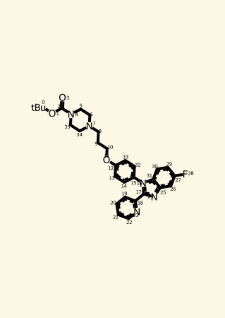 CC(C)(C)OC(=O)N1CCN(CCCOc2ccc(-n3c(-c4ccccn4)nc4cc(F)ccc43)cc2)CC1